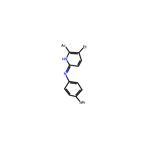 CCCc1ccc(N=c2ccc(CC)c(C(C)=O)[nH]2)cc1